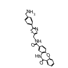 NCc1ccc(-c2ncc(CNC(=O)c3ccc4c(c3)NC(=O)c3ccccc3O4)s2)cc1